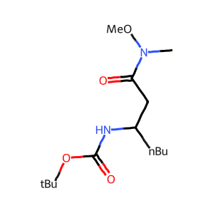 CCCCC(CC(=O)N(C)OC)NC(=O)OC(C)(C)C